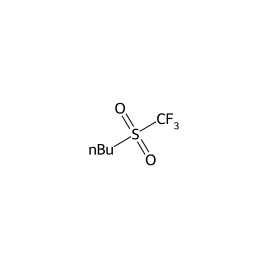 CCCCS(=O)(=O)C(F)(F)F